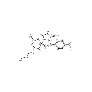 C=CCCC[C@@H]1C[C@@H](O)C[C@](O)([C@H]2CSC(=O)N2Cc2ccc(OC)cc2)O1